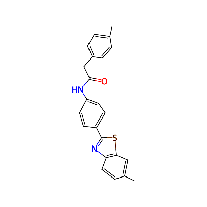 Cc1ccc(CC(=O)Nc2ccc(-c3nc4ccc(C)cc4s3)cc2)cc1